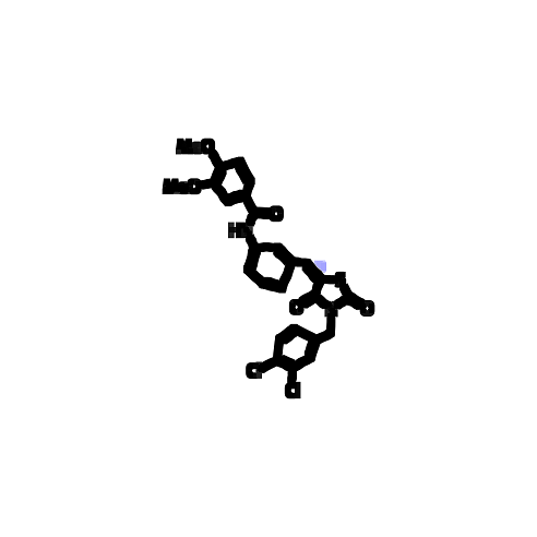 COc1ccc(C(=O)Nc2cccc(/C=C3/SC(=O)N(Cc4ccc(Cl)c(Cl)c4)C3=O)c2)cc1OC